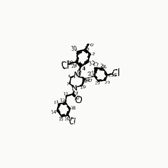 Cc1ccc(N2CCN(C(=O)Cc3cccc(Cl)c3)C[C@@H]2c2ccc(Cl)cc2)c(Cl)c1